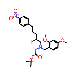 COc1ccc(CN(CC(=O)OC(C)(C)C)CC(I)CCCc2ccc([N+](=O)[O-])cc2)c(OC)c1